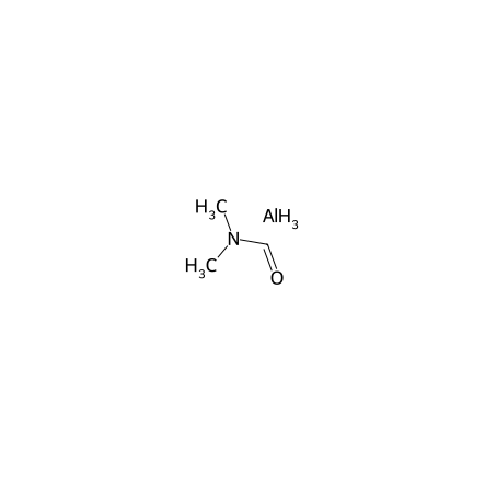 CN(C)C=O.[AlH3]